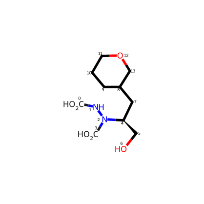 O=C(O)NN(C(=O)O)[C@H](CO)CC1CCCOC1